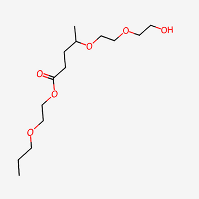 CCCOCCOC(=O)CCC(C)OCCOCCO